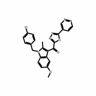 COc1ccc2c(c1)c(C(=O)c1nnc(-c3ccnnc3)o1)c(C)n2Cc1ccc(Cl)cc1